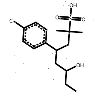 CCC(O)CC(CC(C)(C)S(=O)(=O)O)c1ccc(Cl)cc1